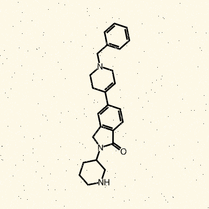 O=C1c2ccc(C3=CCN(Cc4ccccc4)CC3)cc2CN1C1CCCNC1